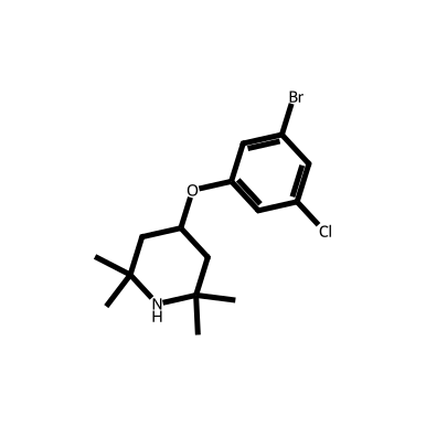 CC1(C)CC(Oc2cc(Cl)cc(Br)c2)CC(C)(C)N1